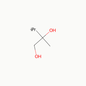 C[C](C)C(C)(O)CO